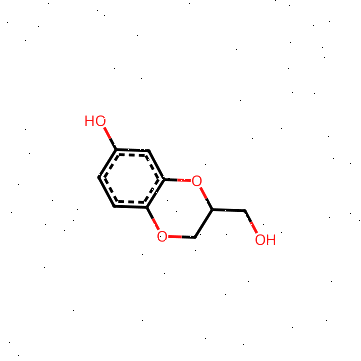 OCC1COc2ccc(O)cc2O1